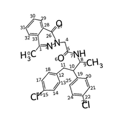 Cc1nn(CC(=O)NC(C)C(Cc2ccc(Cl)cc2)c2ccc(Cl)cc2)c(=O)c2ccccc12